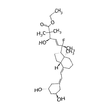 CCOC(=O)C(C)(C)[C@H](O)/C=C/[C@](C)(F)[C@H]1CC[C@H]2/C(=C/C=C3C[C@@H](O)C[C@H](O)C3)CCC[C@@]21C